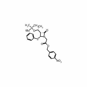 C[C@@H](O[Si](C)(C)C(C)(C)C)[C@@H]1C(=O)N(CC(=O)OCc2ccc([N+](=O)[O-])cc2)[C@H]1Sc1ccccc1